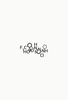 OB1OC(Nc2ncc(Cl)c(NC3CCCC3)n2)c2cccc(C(F)(F)F)c21